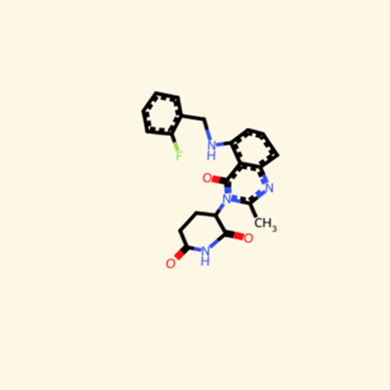 Cc1nc2cccc(NCc3ccccc3F)c2c(=O)n1C1CCC(=O)NC1=O